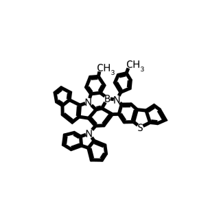 Cc1ccc(N2B3c4cc(C)ccc4-n4c5c3c(cc(-n3c6ccccc6c6ccccc63)c5c3ccc5ccccc5c34)-c3cc4sc5ccccc5c4cc32)cc1